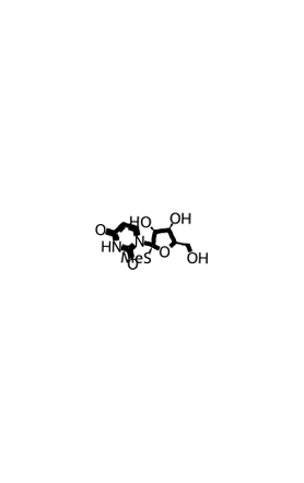 CS[C@@]1(n2ccc(=O)[nH]c2=O)O[C@H](CO)[C@@H](O)[C@H]1O